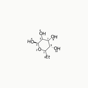 CCC1O[C@@H](O)C(O)C(O)[C@@H]1O